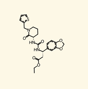 CCOC(=O)C[C@H](NC(=O)N[C@H]1CCCN(Cc2cccs2)C1=O)c1ccc2c(c1)OCO2